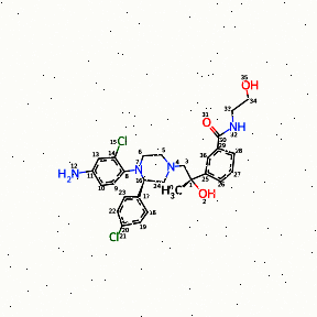 C[C@@](O)(CN1CCN(c2ccc(N)cc2Cl)[C@H](c2ccc(Cl)cc2)C1)c1cccc(C(=O)NCCO)c1